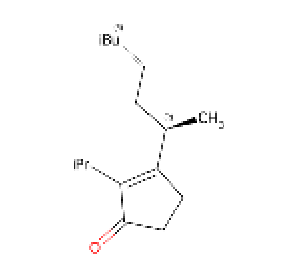 CC[C@@H](C)CC[C@@H](C)C1=C(C(C)C)C(=O)CC1